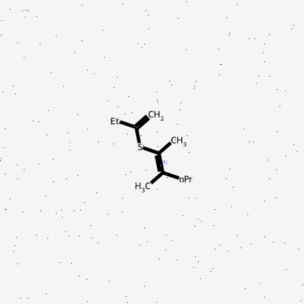 C=C(CC)S/C(C)=C(\C)CCC